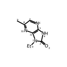 CCn1c(=O)[nH]c2ncc(C)nc21